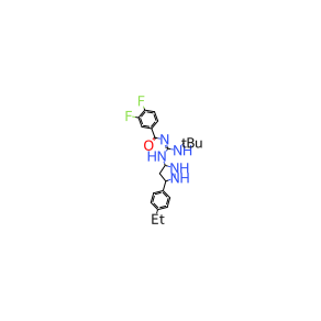 CCc1ccc(C2CC(N/C(=N\C(=O)c3ccc(F)c(F)c3)NC(C)(C)C)NN2)cc1